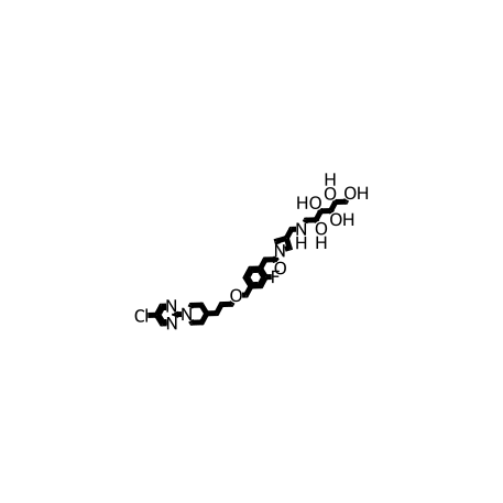 O=C(Cc1ccc(COCCCC2CCN(c3ncc(Cl)cn3)CC2)cc1F)N1CC(CNCC(O)C(O)C(O)C(O)CO)C1